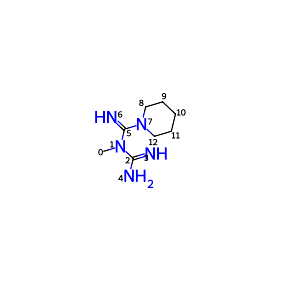 CN(C(=N)N)C(=N)N1CCCCC1